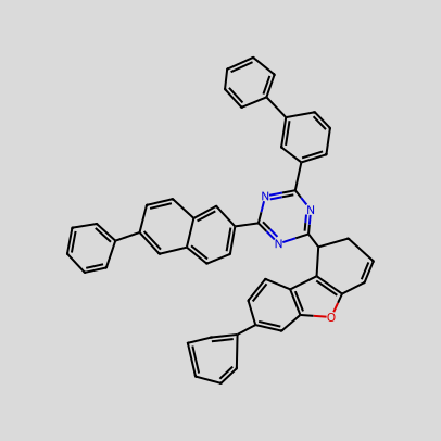 C1=Cc2oc3cc(-c4ccccc4)ccc3c2C(c2nc(-c3cccc(-c4ccccc4)c3)nc(-c3ccc4cc(-c5ccccc5)ccc4c3)n2)C1